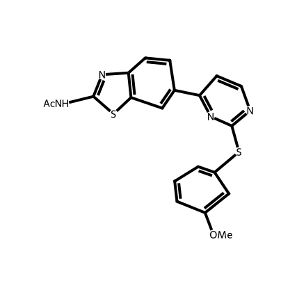 COc1cccc(Sc2nccc(-c3ccc4nc(NC(C)=O)sc4c3)n2)c1